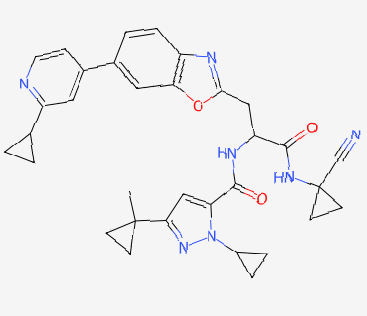 CC1(c2cc(C(=O)NC(Cc3nc4ccc(-c5ccnc(C6CC6)c5)cc4o3)C(=O)NC3(C#N)CC3)n(C3CC3)n2)CC1